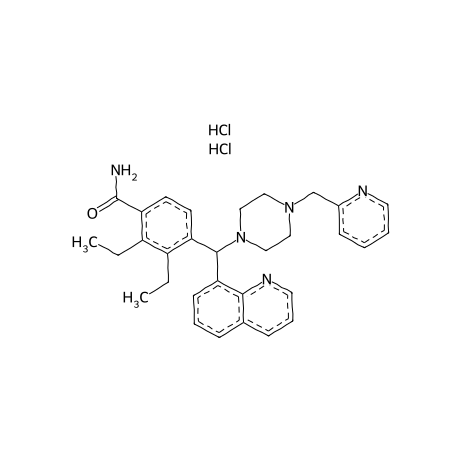 CCc1c(C(N)=O)ccc(C(c2cccc3cccnc23)N2CCN(Cc3ccccn3)CC2)c1CC.Cl.Cl